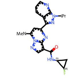 CNc1cc(-c2nn(C(C)C)c3ncccc23)nc2c(C(=O)N[C@H]3C[C@H]3F)cnn12